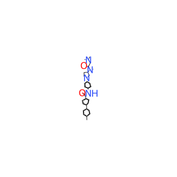 Cc1ccc(-c2ccc(C(=O)Nc3ccc(N4CCC(N(C)C(=O)CN(C)C)C4)cc3)cc2)cc1